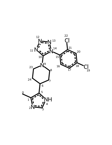 Cc1nc[nH]c1C1CCN(c2nnnn2-c2ccc(Cl)cc2Cl)CC1